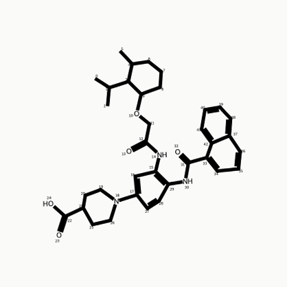 CC(C)C1C(C)CCCC1OCC(=O)Nc1cc(N2CCC(C(=O)O)CC2)ccc1NC(=O)c1cccc2ccccc12